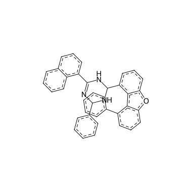 c1ccc(-c2cccc3oc4cccc(C5NC(c6cccc7ccccc67)=NC(c6ccccc6)N5)c4c23)cc1